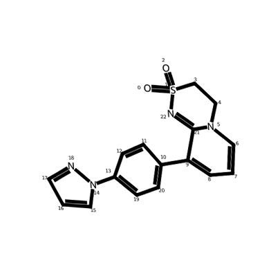 O=S1(=O)CCN2C=CC=C(c3ccc(-n4cccn4)cc3)C2=N1